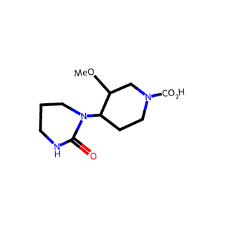 COC1CN(C(=O)O)CCC1N1CCCNC1=O